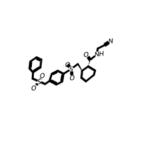 N#CCNC(=O)[C@@H]1CCCC[C@H]1CS(=O)(=O)c1ccc(CS(=O)(=O)Cc2ccccc2)cc1